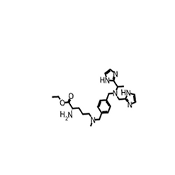 CCOC(=O)[C@@H](N)CCCN(C)Cc1ccc(CN(Cc2ncc[nH]2)C(C)c2ncc[nH]2)cc1